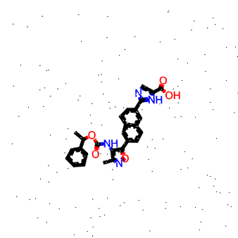 Cc1noc(-c2ccc3cc(-c4ncc(C(=O)O)[nH]4)ccc3c2)c1NC(=O)OC(C)c1ccccc1